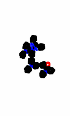 c1ccc(-c2cc(-c3ccccc3)nc(N3c4ccc(-c5ccc6c(c5)c5cc(-c7ccc8c(c7)C7C(O8)c8ccccc8N7c7ccccc7)ccc5n6-c5ccccc5)cc4C4C3c3ccccc3N4c3ccccc3)n2)cc1